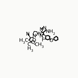 CCO[C@H](C)C(C)=C(C#N)C(=O)N1CCCC(n2nc(-c3ccc(Oc4ccccc4)cc3F)c3c(N)ncnc32)C1